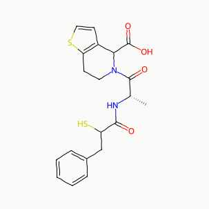 C[C@H](NC(=O)C(S)Cc1ccccc1)C(=O)N1CCc2sccc2C1C(=O)O